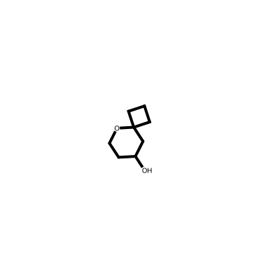 OC1CCOC2(CCC2)C1